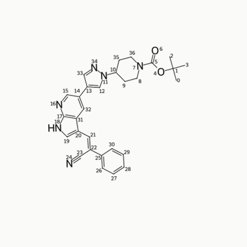 CC(C)(C)OC(=O)N1CCC(n2cc(-c3cnc4[nH]cc(C=C(C#N)c5ccccc5)c4c3)cn2)CC1